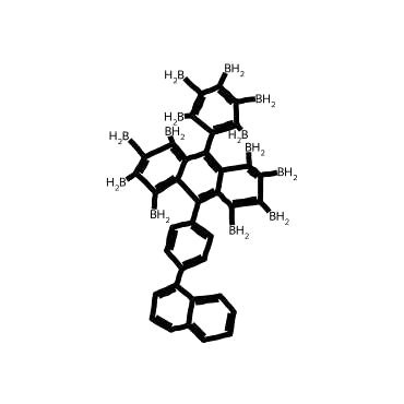 Bc1c(B)c(B)c(-c2c3c(B)c(B)c(B)c(B)c3c(-c3ccc(-c4cccc5ccccc45)cc3)c3c(B)c(B)c(B)c(B)c23)c(B)c1B